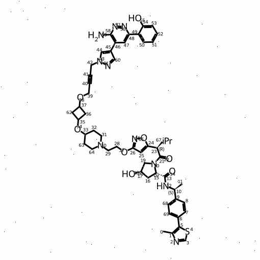 Cc1ncsc1-c1ccc([C@H](C)NC(=O)[C@@H]2C[C@@H](O)CN2C(=O)[C@@H](c2cc(OCCN3CCC(OC4CC(OCC#CCn5cc(-c6cc(-c7ccccc7O)nnc6N)cn5)C4)CC3)no2)C(C)C)cc1